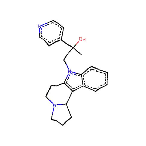 CC(O)(Cn1c2c(c3ccccc31)C1CCCN1CC2)c1ccncc1